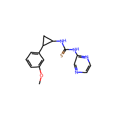 COc1cccc(C2CC2NC(=S)Nc2cnccn2)c1